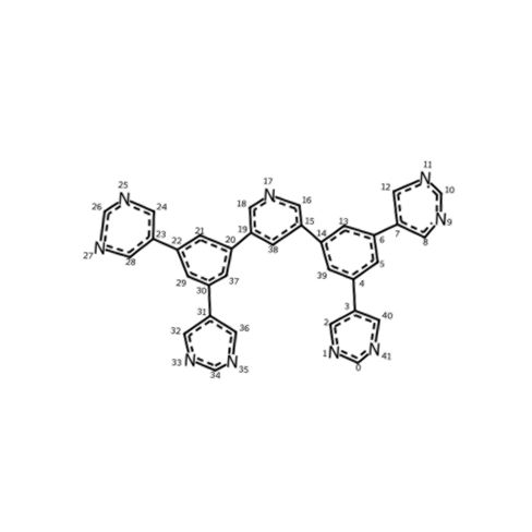 c1ncc(-c2cc(-c3cncnc3)cc(-c3cncc(-c4cc(-c5cncnc5)cc(-c5cncnc5)c4)c3)c2)cn1